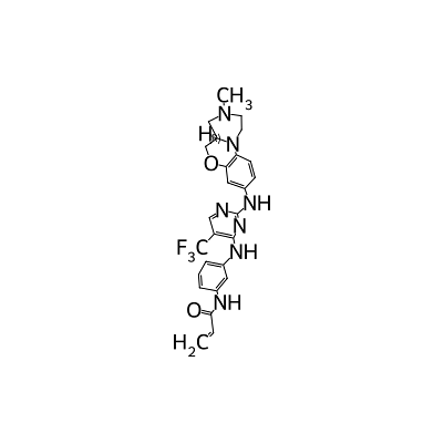 C=CC(=O)Nc1cccc(Nc2nc(Nc3ccc4c(c3)OC[C@H]3CN(C)CCN43)ncc2C(F)(F)F)c1